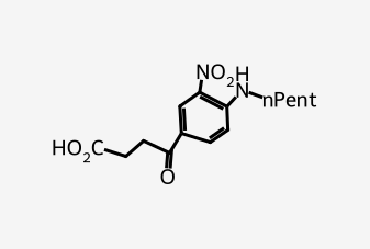 CCCCCNc1ccc(C(=O)CCC(=O)O)cc1[N+](=O)[O-]